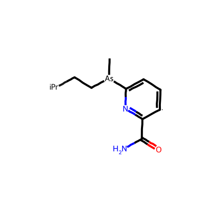 CC(C)CC[As](C)c1cc[c]c(C(N)=O)n1